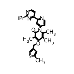 Cc1cc(COc2c(C)c(C)n(-c3ccnc(-c4ccnc(C(C)C)n4)c3)c(=O)c2C)cs1